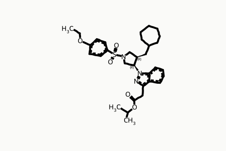 CCOc1ccc(S(=O)(=O)N2C[C@@H](CC3CCCCCC3)[C@@H](n3nc(CC(=O)OC(C)C)c4ccccc43)C2)cc1